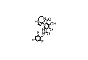 O=C(NCc1c(F)cc(F)cc1F)c1cn2c(c(O)c1=O)C(=O)N1CCC[C@@H]3C=C[C@]32C1